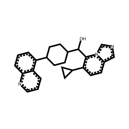 OC(c1c(C2CC2)ccc2cncn12)C1CCC(c2cccc3ncccc23)CC1